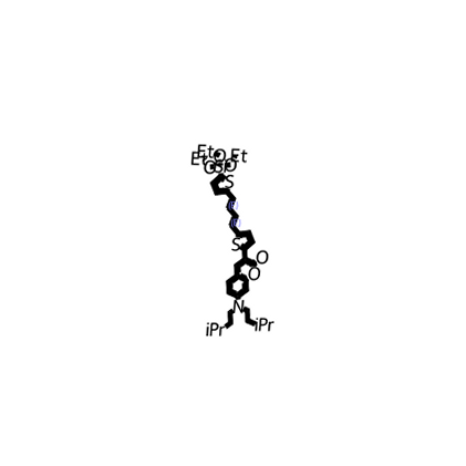 CCO[Si](OCC)(OCC)c1ccc(/C=C/C=C/c2ccc(-c3cc4ccc(N(CCC(C)C)CCC(C)C)cc4oc3=O)s2)s1